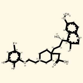 COc1ccc2ncc(F)c([C@@H](O)CCC3(CC(=O)O)CCN(CCOc4cc(F)cc(F)c4F)CC3)c2c1